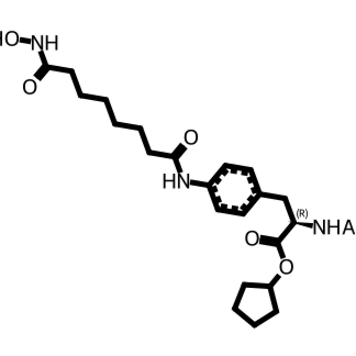 CC(=O)N[C@H](Cc1ccc(NC(=O)CCCCCCC(=O)NO)cc1)C(=O)OC1CCCC1